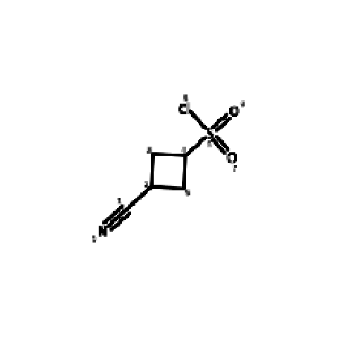 N#CC1CC(S(=O)(=O)Cl)C1